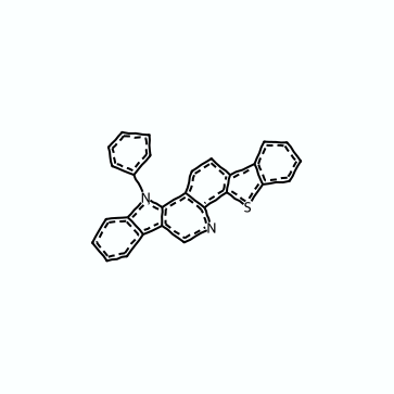 c1ccc(-n2c3ccccc3c3cnc4c(ccc5c6ccccc6sc54)c32)cc1